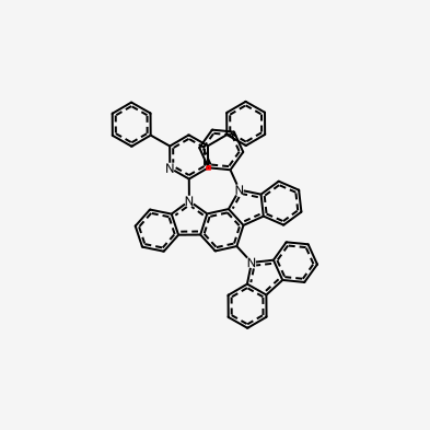 c1ccc(-c2cc(-c3ccccc3)nc(-n3c4ccccc4c4cc(-n5c6ccccc6c6ccccc65)c5c6ccccc6n(-c6ccccc6)c5c43)c2)cc1